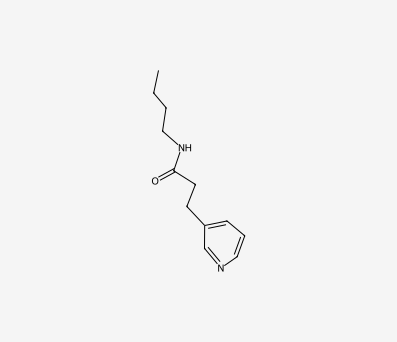 CCCCNC(=O)CCc1cccnc1